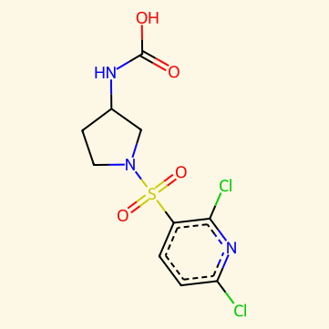 O=C(O)NC1CCN(S(=O)(=O)c2ccc(Cl)nc2Cl)C1